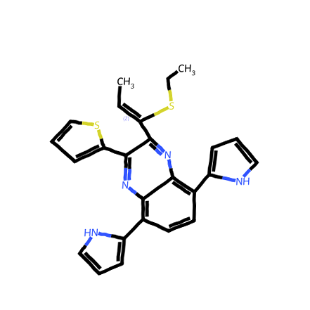 C/C=C(\SCC)c1nc2c(-c3ccc[nH]3)ccc(-c3ccc[nH]3)c2nc1-c1cccs1